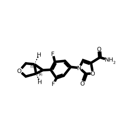 NC(=O)c1cn(-c2cc(F)c(C3[C@H]4COC[C@@H]34)c(F)c2)c(=O)o1